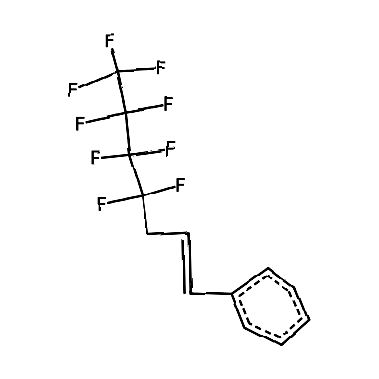 FC(F)(F)C(F)(F)C(F)(F)C(F)(F)CC=Cc1ccccc1